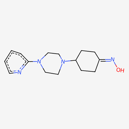 ON=C1CCC(N2CCN(c3ccccn3)CC2)CC1